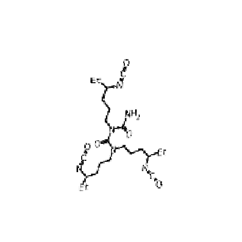 CCC(CCCN(CCCC(CC)N=C=O)C(=O)N(CCCC(CC)N=C=O)C(N)=O)N=C=O